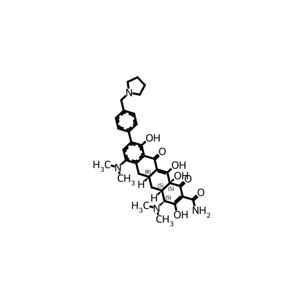 CN(C)c1cc(-c2ccc(CN3CCCC3)cc2)c(O)c2c1C[C@H]1C[C@H]3[C@H](N(C)C)C(O)=C(C(N)=O)C(=O)[C@@]3(O)C(O)=C1C2=O